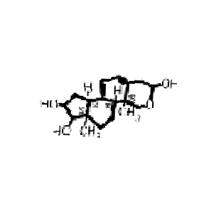 C[C@]12COC(O)CC1=CC=C1[C@H]2CC[C@]2(C)C(O)C(O)C[C@@H]12